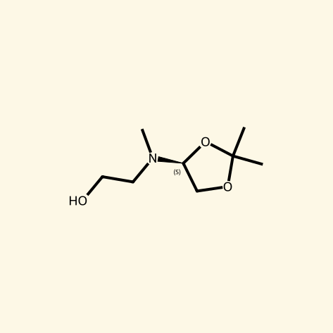 CN(CCO)[C@@H]1COC(C)(C)O1